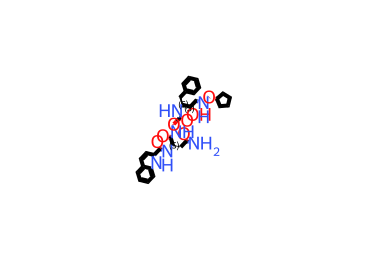 NC(=O)C[C@H](NC(=O)c1ccc2ccccc2n1)C(=O)NOC(=O)N[C@@H](Cc1ccccc1)[C@@H](O)CNOC1CCCC1